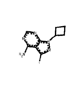 Nc1ncnc2c1c(I)nn2C1CCC1